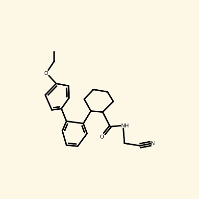 CCOc1ccc(-c2ccccc2C2CCCCC2C(=O)NCC#N)cc1